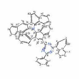 c1ccc(-c2nc(-c3cccc4ccccc34)nc(-c3cc(-c4ccccc4)c(-n4c5cc6ccccc6cc5c5ccc6ccccc6c54)c4ccccc34)n2)cc1